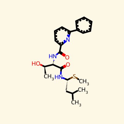 CS[C@H](CC(C)C)NC(=O)[C@@H](NC(=O)c1cccc(-c2ccccc2)n1)[C@@H](C)O